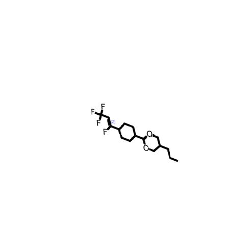 CCCC1COC(C2CCC(/C(F)=C/C(F)(F)F)CC2)OC1